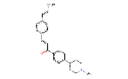 CN1CCC(c2ccc(C(=O)C=Cc3ccc(C=CC(=O)O)cc3)cc2)CC1